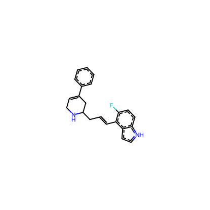 Fc1ccc2[nH]ccc2c1C=CCC1CC(c2ccccc2)=CCN1